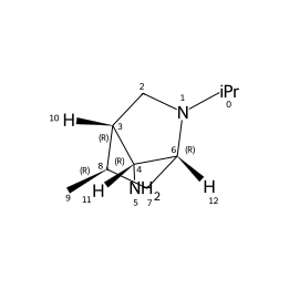 CC(C)N1C[C@@H]2[C@@H](N)[C@H]1C[C@H]2C